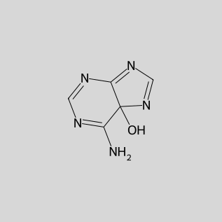 NC1=NC=NC2=NC=NC12O